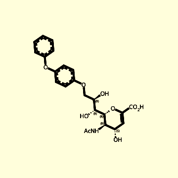 CC(=O)N[C@H]1[C@H]([C@H](O)[C@H](O)COc2ccc(Oc3ccccc3)cc2)OC(C(=O)O)=C[C@@H]1O